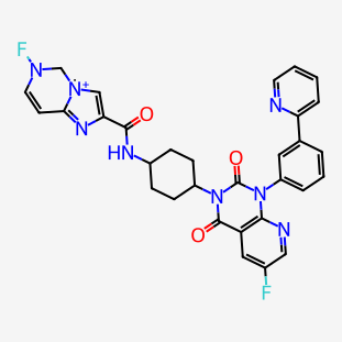 O=C(NC1CCC(n2c(=O)c3cc(F)cnc3n(-c3cccc(-c4ccccn4)c3)c2=O)CC1)C1=C[N+]2CN(F)C=CC2=N1